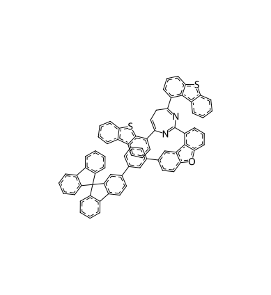 C1=C(c2cccc3c2sc2ccccc23)N=C(c2cccc3oc4ccc(-c5cccc(-c6ccc7c(c6)C6(c8ccccc8-c8ccccc86)c6ccccc6-7)c5)cc4c23)N=C(c2cccc3sc4ccccc4c23)C1